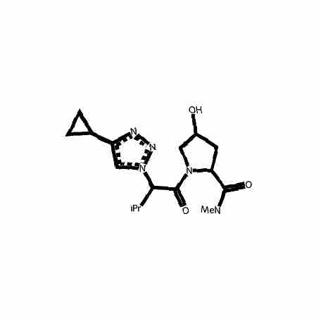 CNC(=O)C1CC(O)CN1C(=O)C(C(C)C)n1cc(C2CC2)nn1